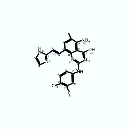 Cc1cc(/C=C/c2ncc[nH]2)c2nc(Nc3ccc(Cl)c(Cl)c3)nc(O)c2c1[N+](=O)[O-]